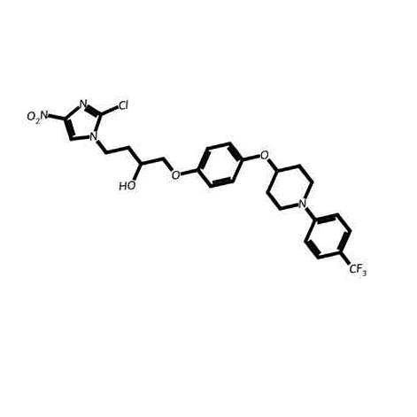 O=[N+]([O-])c1cn(CCC(O)COc2ccc(OC3CCN(c4ccc(C(F)(F)F)cc4)CC3)cc2)c(Cl)n1